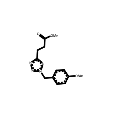 COC(=O)CCc1nnn(Cc2ccc(OC)cc2)n1